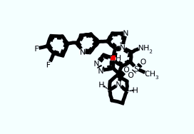 CS(=O)(=O)c1c(C2C[C@H]3CC[C@@H](C2)N3C(=O)c2nnc[nH]2)nc2c(-c3ccc(-c4ccc(F)c(F)c4)nc3)cnn2c1N